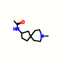 CC(=O)NC1CCC2(CCN(C)CC2)C1